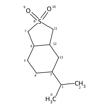 CC(C)C1CCC2CS(=O)(=O)CC2C1